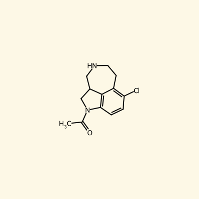 CC(=O)N1CC2CNCCc3c(Cl)ccc1c32